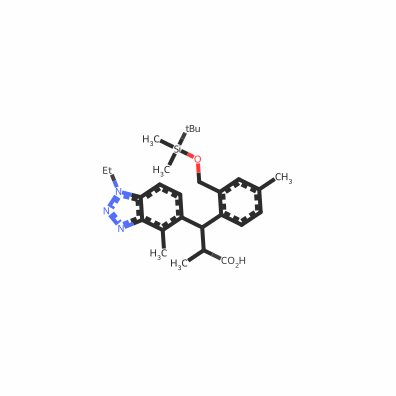 CCn1nnc2c(C)c(C(c3ccc(C)cc3CO[Si](C)(C)C(C)(C)C)C(C)C(=O)O)ccc21